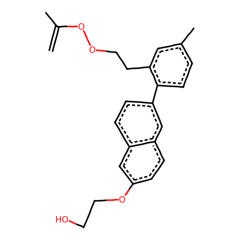 C=C(C)OOCCc1cc(C)ccc1-c1ccc2cc(OCCO)ccc2c1